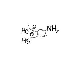 CC(O)S(=O)(=O)c1cc(N)ccc1CCS